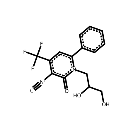 [C-]#[N+]c1c(C(F)(F)F)cc(-c2ccccc2)n(CC(O)CO)c1=O